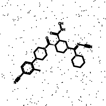 Cc1cc(C#N)ccc1C1CCN(C(=O)[C@H]2CCN(C(=NC#N)N3CCCCC3)C[C@@H]2C(=O)NO)CC1